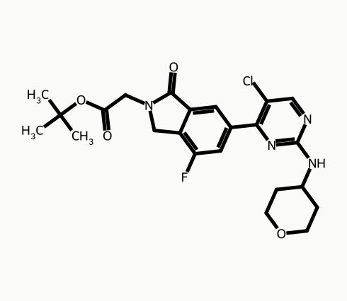 CC(C)(C)OC(=O)CN1Cc2c(F)cc(-c3nc(NC4CCOCC4)ncc3Cl)cc2C1=O